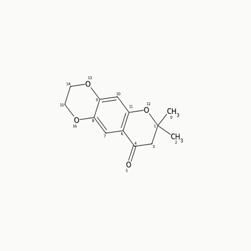 CC1(C)CC(=O)c2cc3c(cc2O1)OCCO3